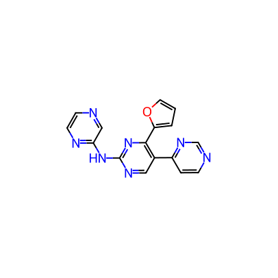 c1coc(-c2nc(Nc3cnccn3)ncc2-c2ccncn2)c1